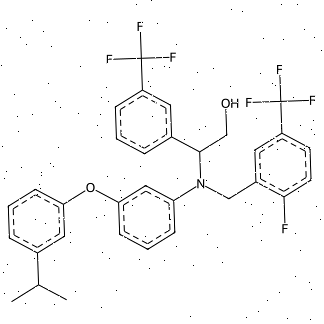 CC(C)c1cccc(Oc2cccc(N(Cc3cc(C(F)(F)F)ccc3F)C(CO)c3cccc(C(F)(F)F)c3)c2)c1